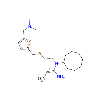 CN(C)Cc1ccc(CSCCN(/C(N)=C/[N+](=O)[O-])C2CCCCCCC2)s1